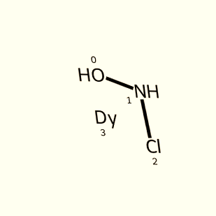 ONCl.[Dy]